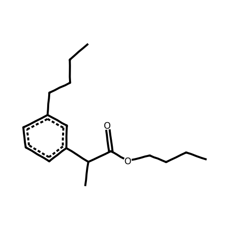 CCCCOC(=O)C(C)c1cccc(CCCC)c1